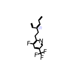 C=C/C=C(\C=C)CCc1ncc(C(F)(F)F)cc1F